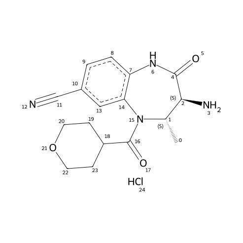 C[C@H]1[C@H](N)C(=O)Nc2ccc(C#N)cc2N1C(=O)C1CCOCC1.Cl